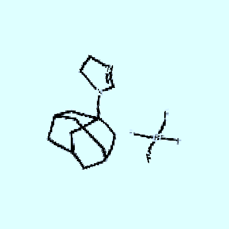 C1=NCCN1C12CC3CC(CC(C3)C1)C2.F[B-](F)(F)F